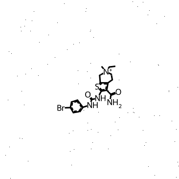 CC[N+]1(C)CCc2c(sc(NC(=O)Nc3ccc(Br)cc3)c2C(N)=O)C1